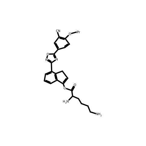 CC(C)Oc1ccc(-c2nc(-c3cccc4c3CC=C4OC(=O)C(N)CCCCN)no2)cc1C#N